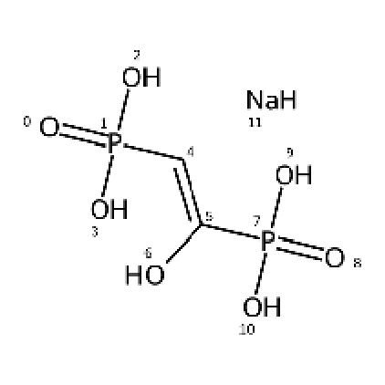 O=P(O)(O)C=C(O)P(=O)(O)O.[NaH]